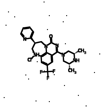 C[C@@H]1CN(c2nc(=O)n3c4c(cc(C(F)(F)F)cc24)[SH](Cl)C[C@@H](c2ccccn2)C3)C[C@H](C)N1